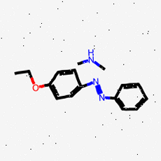 CCOc1ccc(N=Nc2ccccc2)cc1.CNC